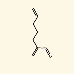 C=CCCCC(=C)C=O